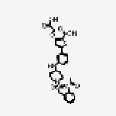 CC(=O)Nc1ccccc1CS(=O)(=O)N1CCC(Nc2cccc(-c3cc(OCC(=O)O)c(C(=O)O)s3)c2)CC1